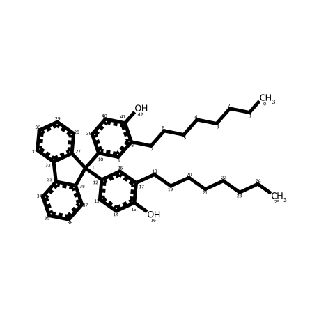 CCCCCCCCc1cc(C2(c3ccc(O)c(CCCCCCCC)c3)c3ccccc3-c3ccccc32)ccc1O